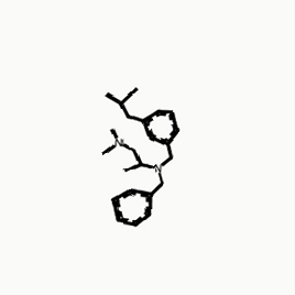 CC(C)Cc1cccc(CN(Cc2ccccc2)C(C)CN(C)C)c1